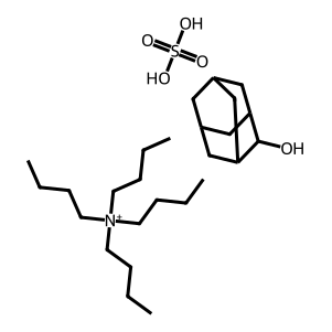 CCCC[N+](CCCC)(CCCC)CCCC.O=S(=O)(O)O.OC1C2CC3CC(C2)CC1C3